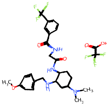 COc1ccc(CNC2CC(N(C)C)CCC2NC(=O)CNC(=O)c2cccc(C(F)(F)F)c2)cc1.O=C(O)C(F)(F)F